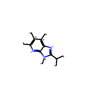 Cc1nc2c(nc(C(C)C)n2C)c(C)c1C